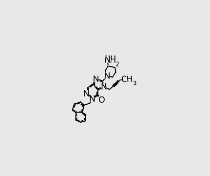 CC#CCn1c(N2CCCC(N)C2)nc2cnn(Cc3cccc4ccccc34)c(=O)c21